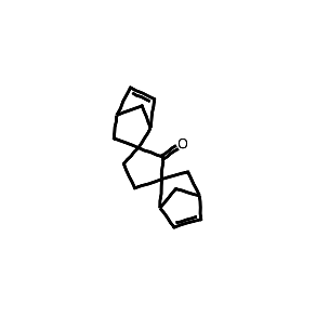 O=C1C2(CCC13CC1C=CC3C1)CC1C=CC2C1